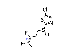 C/C(F)=C(/F)CC[S+]([O-])c1ncc(Cl)s1